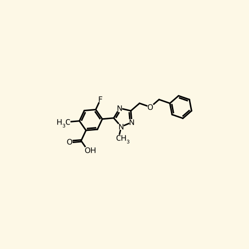 Cc1cc(F)c(-c2nc(COCc3ccccc3)nn2C)cc1C(=O)O